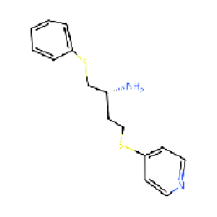 N[C@H](CCSc1ccncc1)CSc1ccccc1